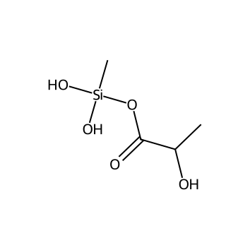 CC(O)C(=O)O[Si](C)(O)O